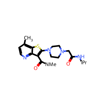 CNC(=O)c1c(N2CCN(CC(=O)NC(C)C)CC2)sc2c(C)ccnc12